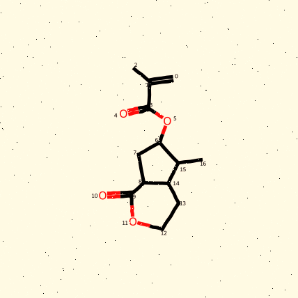 C=C(C)C(=O)OC1CC2C(=O)OCCC2C1C